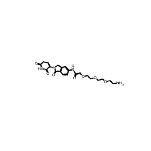 NCCOCCOCCOCC(=O)Nc1ccc2c(c1)CN(C1CCC(=O)NC1=O)C2=O